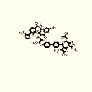 Cc1ncsc1-c1ccc([C@H](C)NC(=O)[C@@H]2C[C@@H](O)CN2C(=O)[C@@H](NC(=O)[C@@H](C)Oc2ccc(-c3ccc(C4=N[C@@H](CC(=O)O)c5nnc(C)n5-c5sc(C)c(C)c54)cc3)cc2)C(C)(C)C)cc1